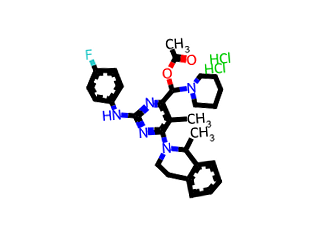 CC(=O)OC(c1nc(Nc2ccc(F)cc2)nc(N2CCc3ccccc3C2C)c1C)N1CCCCC1.Cl.Cl